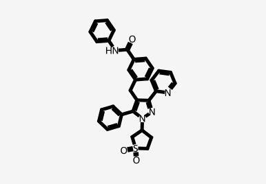 O=C(Nc1ccccc1)c1cccc(Cc2c(-c3ccccn3)nn(C3CCS(=O)(=O)C3)c2-c2ccccc2)c1